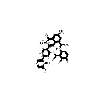 Cc1cc([C@@H](C)Nc2ccc(F)c(F)c2C(F)F)c2cc(-c3cnc(-c4cncc(=O)n4C)nc3)n(C)c(=O)c2c1